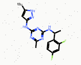 Cc1nc(Nc2cc(C(C)(C)C)[nH]n2)nc(NC(C)c2ccc(F)cc2F)n1